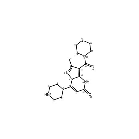 Cc1nn2c(C3CCNCC3)cc(=O)[nH]c2c1C(=O)N1CCSCC1